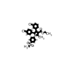 CCOC(=O)c1c(-c2cccc(Cl)c2)c(-c2ccc(Cl)cc2)n(-c2ccc(S(N)(=O)=O)cc2)c1C